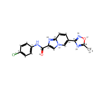 O=C(Nc1ccc(Cl)cc1)c1cn2cc(-c3noc(C(F)(F)F)n3)ccc2n1